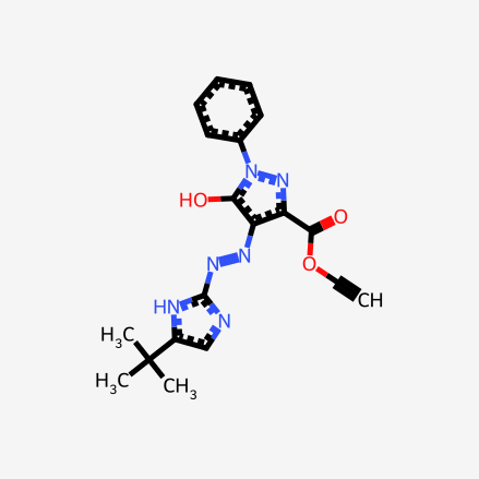 C#COC(=O)c1nn(-c2ccccc2)c(O)c1N=Nc1ncc(C(C)(C)C)[nH]1